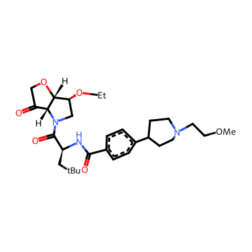 CCO[C@H]1CN(C(=O)[C@H](CC(C)(C)C)NC(=O)c2ccc(C3CCN(CCOC)CC3)cc2)[C@@H]2C(=O)CO[C@H]12